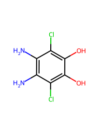 Nc1c(N)c(Cl)c(O)c(O)c1Cl